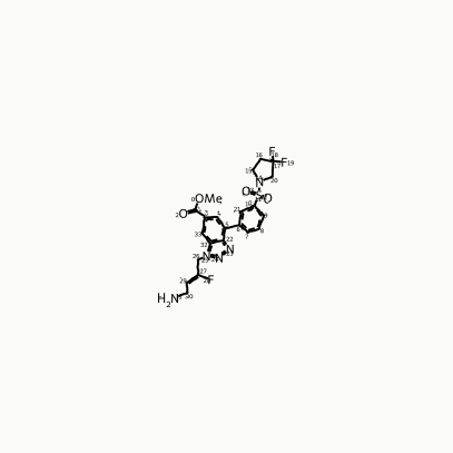 COC(=O)c1cc(-c2cccc(S(=O)(=O)N3CCC(F)(F)C3)c2)c2nnn(C/C(F)=C/CN)c2c1